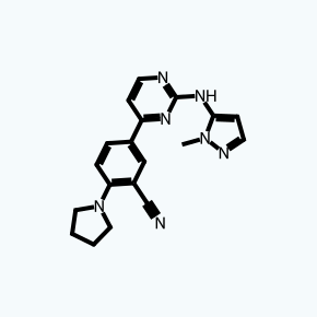 Cn1nccc1Nc1nccc(-c2ccc(N3CCCC3)c(C#N)c2)n1